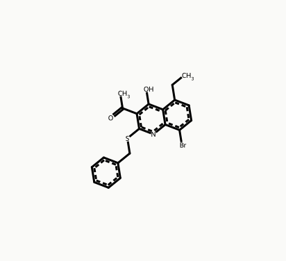 CCc1ccc(Br)c2nc(SCc3ccccc3)c(C(C)=O)c(O)c12